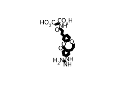 N=C(N)Nc1ccc2c(c1)CCCOc1ccc(CCC(=O)NC(CC(=O)O)C(=O)O)cc1OC2=O